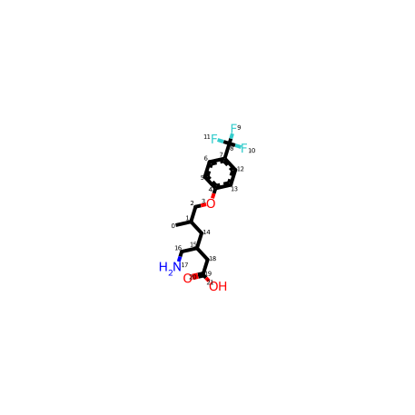 CC(COc1ccc(C(F)(F)F)cc1)CC(CN)CC(=O)O